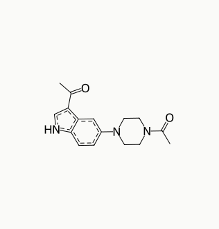 CC(=O)c1c[nH]c2ccc(N3CCN(C(C)=O)CC3)cc12